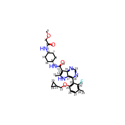 COCC(=O)N[C@H]1CC[C@H](NC(=O)c2c(C)[nH]c3c(-c4c(OCC5CC5)ccc(C)c4F)ncnc23)CC1